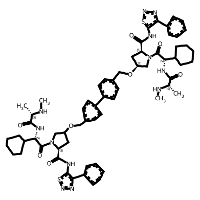 CN[C@@H](C)C(=O)N[C@H](C(=O)N1CC(OCc2ccc(-c3ccc(CO[C@H]4C[C@@H](C(=O)Nc5snnc5-c5ccccc5)N(C(=O)[C@@H](NC(=O)[C@H](C)NC)C5CCCCC5)C4)cc3)cc2)C[C@H]1C(=O)Nc1snnc1-c1ccccc1)C1CCCCC1